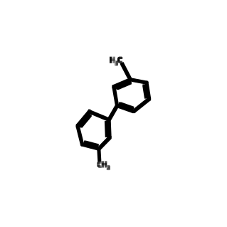 Cc1cc[c]c(-c2cccc(C)c2)c1